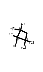 FC1(F)CC(Cl)(Cl)C1(F)F